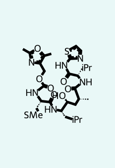 CSC[C@H](NC(=O)OCc1nc(C)oc1C)C(=O)N[C@@H](CC(C)C)[C@@H](O)C[C@@H](C)C(=O)N[C@H](C(=O)Nc1nccs1)C(C)C